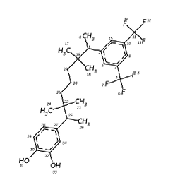 CC(c1cc(C(F)(F)F)cc(C(F)(F)F)c1)C(C)(C)CCCC(C)(C)C(C)c1ccc(O)c(O)c1